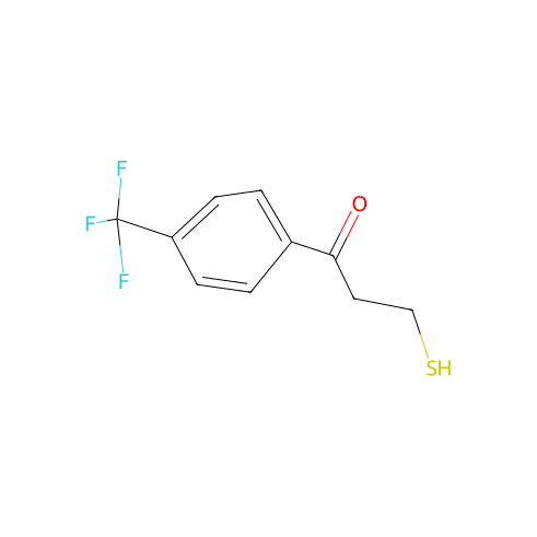 O=C(CCS)c1ccc(C(F)(F)F)cc1